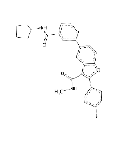 CNC(=O)c1c(-c2ccc(F)cc2)oc2ccc(-c3cccc(C(=O)NC4CCCC4)c3)cc12